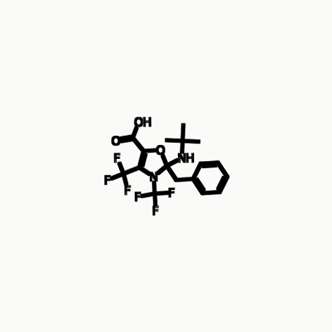 CC(C)(C)NC1(Cc2ccccc2)OC(C(=O)O)=C(C(F)(F)F)N1C(F)(F)F